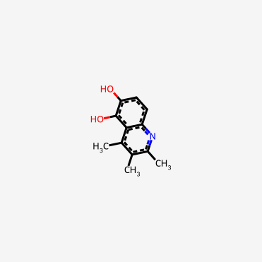 Cc1nc2ccc(O)c(O)c2c(C)c1C